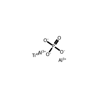 O=P([O-])([O-])[O-].[Al+3].[Al+3].[Ti+4]